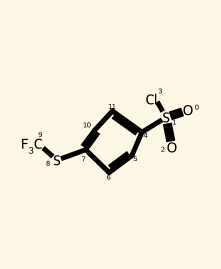 O=S(=O)(Cl)c1ccc(SC(F)(F)F)cc1